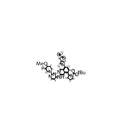 CO[C@@H]1CCN(c2nccc(Nc3cc4c(C5CCCN5C(=O)OC(C)(C)C)ccc(N5C[C@H](CS(C)(=O)=O)[C@H]5C)c4cn3)n2)C[C@@H]1F